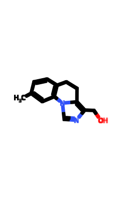 Cc1ccc2c(c1)-n1cnc(CO)c1CC2